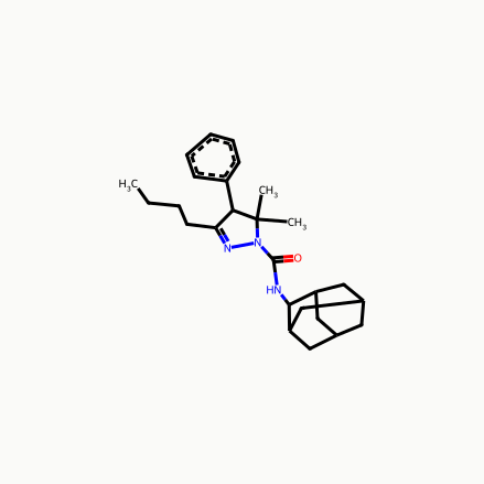 CCCCC1=NN(C(=O)NC2C3CC4CC(C3)CC2C4)C(C)(C)C1c1ccccc1